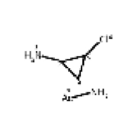 CC(N)=O.NC1CC1Cl